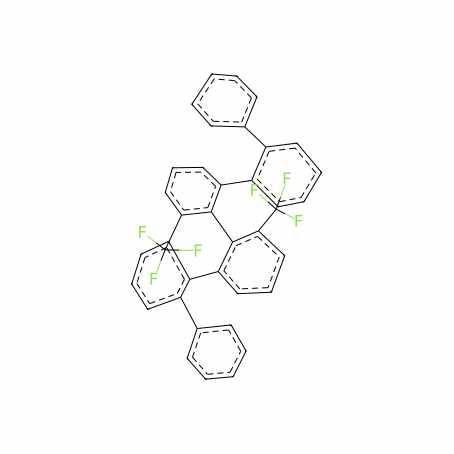 FC(F)(F)c1cccc(-c2ccccc2-c2ccccc2)c1-c1c(-c2ccccc2-c2ccccc2)cccc1C(F)(F)F